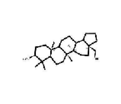 CC(=O)O[C@H]1CC[C@@]2(C)C(CC[C@]3(C)C2CCC2C4CCC[C@]4(CO)CC[C@]23C)C1(C)C